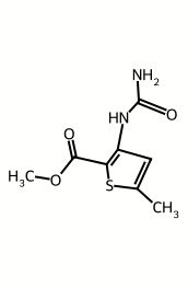 COC(=O)c1sc(C)cc1NC(N)=O